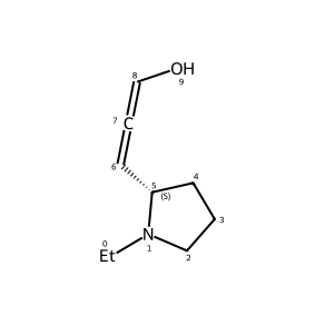 CCN1CCC[C@H]1C=C=CO